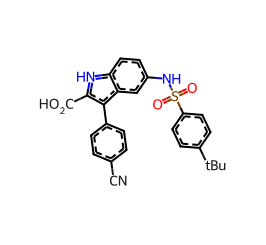 CC(C)(C)c1ccc(S(=O)(=O)Nc2ccc3[nH]c(C(=O)O)c(-c4ccc(C#N)cc4)c3c2)cc1